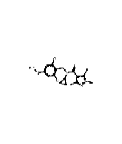 Cc1nn(C)c(F)c1C(=O)N(Cc1c(Cl)cc(OC(F)(F)F)cc1Cl)C1CC1